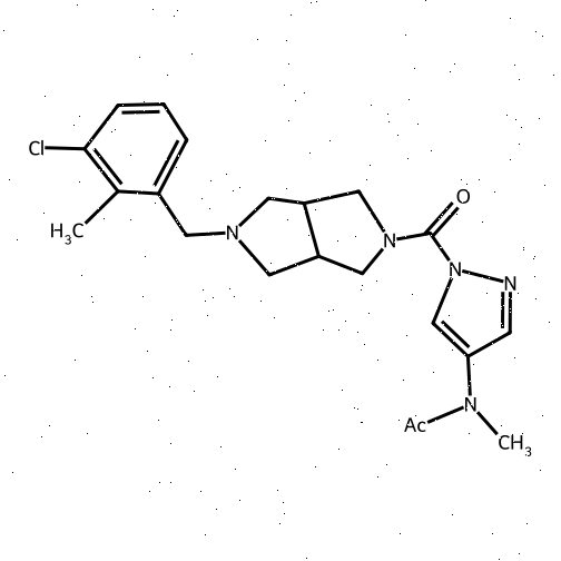 CC(=O)N(C)c1cnn(C(=O)N2CC3CN(Cc4cccc(Cl)c4C)CC3C2)c1